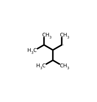 C[CH]C(C(C)C)C(C)C